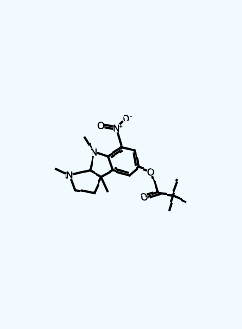 CN1CCC2(C)c3cc(OC(=O)C(C)(C)C)cc([N+](=O)[O-])c3N(C)C12